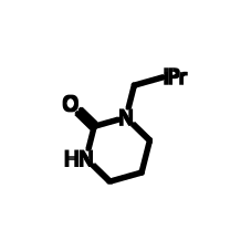 CC(C)CN1CCCNC1=O